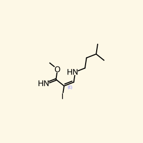 COC(=N)/C(I)=C\NCCC(C)C